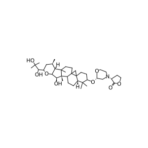 C[C@@H]1CC(C(O)C(C)(C)O)OC2[C@H]1C1(C)CCC34CC35CCC(O[C@H]3CN([C@@H]6CCOC6=O)CCO3)C(C)(C)[C@@H]5CCC4[C@]1(C)[C@H]2O